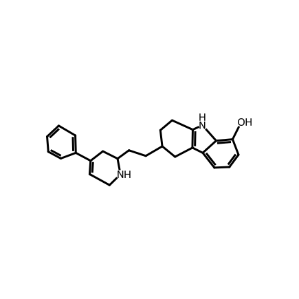 Oc1cccc2c3c([nH]c12)CCC(CCC1CC(c2ccccc2)=CCN1)C3